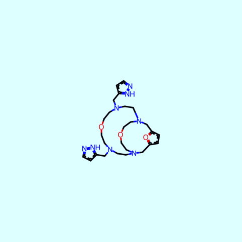 c1cc(CN2CCOCCN(Cc3ccn[nH]3)CCN3CCOCCN(CC2)Cc2ccc(o2)C3)[nH]n1